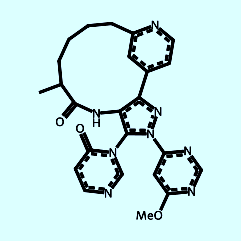 COc1cc(-n2nc3c(c2-n2cnccc2=O)NC(=O)C(C)CCCCc2cc-3ccn2)ncn1